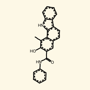 Cc1c(O)c(C(=O)Nc2ccccc2)cc2ccc3c4ccccc4[nH]c3c12